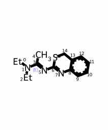 CCN(CC)/C(C)=N/C1=Nc2ccccc2CS1